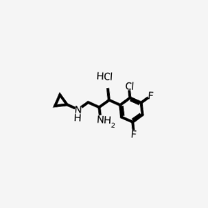 CC(c1cc(F)cc(F)c1Cl)C(N)CNC1CC1.Cl